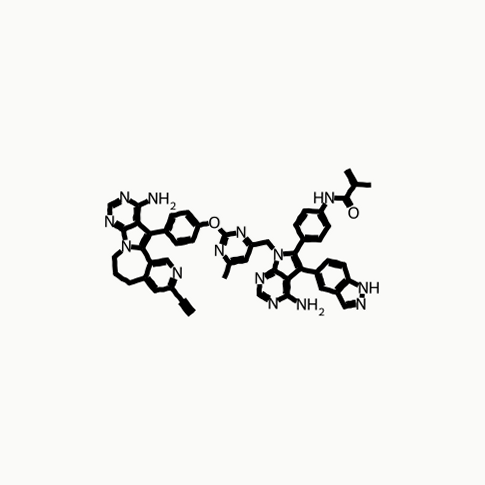 C#Cc1cc2c(cn1)-c1c(-c3ccc(Oc4nc(C)cc(Cn5c(-c6ccc(NC(=O)C(=C)C)cc6)c(-c6ccc7[nH]ncc7c6)c6c(N)ncnc65)n4)cc3)c3c(N)ncnc3n1CCC2